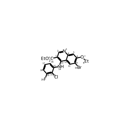 CCOC(=O)c1cnc2cc(OCC)c(Br)cc2c1Nc1cccc(F)c1Cl